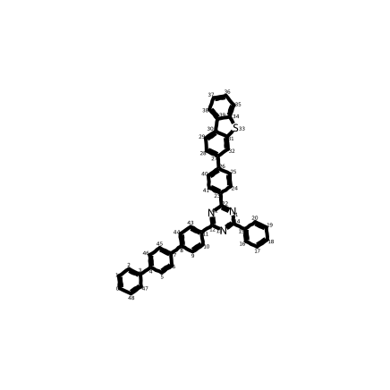 c1ccc(-c2ccc(-c3ccc(-c4nc(-c5ccccc5)nc(-c5ccc(-c6ccc7c(c6)sc6ccccc67)cc5)n4)cc3)cc2)cc1